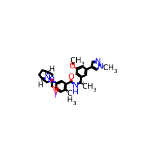 COc1cc(-c2cnn(C)c2)cc([C@@H](C)NC(=O)c2cc(N3C[C@H]4CC[C@@H](C3)N4CCOI)ccc2C)c1